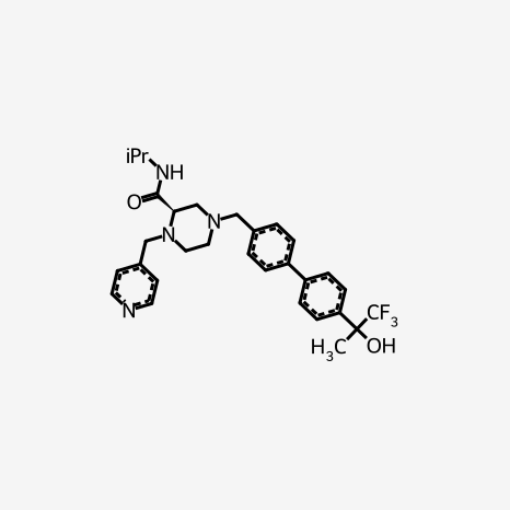 CC(C)NC(=O)[C@H]1CN(Cc2ccc(-c3ccc(C(C)(O)C(F)(F)F)cc3)cc2)CCN1Cc1ccncc1